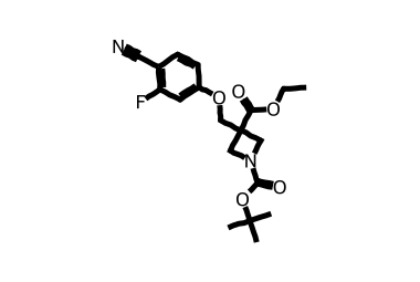 CCOC(=O)C1(COc2ccc(C#N)c(F)c2)CN(C(=O)OC(C)(C)C)C1